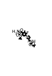 Cc1c(F)c(N2CCC([C@@H](C)NC(=O)OC(C)(C)C)C2)cc2c1c(=O)n(N)c(=O)n2C1CC1